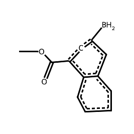 Bc1cc(C(=O)OC)c2ccccc2c1